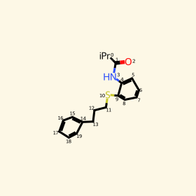 CC(C)C(=O)Nc1ccccc1SCCCc1ccccc1